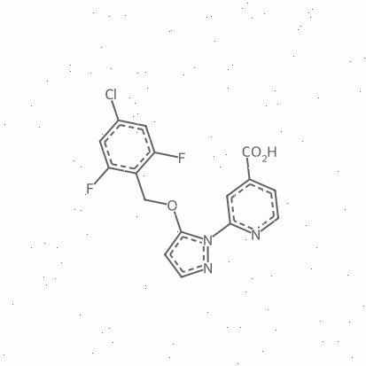 O=C(O)c1ccnc(-n2nccc2OCc2c(F)cc(Cl)cc2F)c1